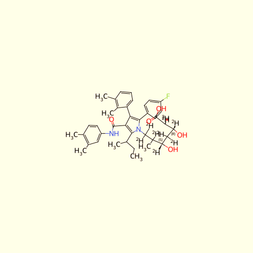 [2H]C([2H])(n1c(-c2ccc(F)cc2)c(-c2cccc(C)c2C)c(C(=O)Nc2ccc(C)c(C)c2)c1C(C)CC)C([2H])(C)[C@@]([2H])(O)C([2H])([2H])[C@@]([2H])(O)C([2H])([2H])C(=O)O